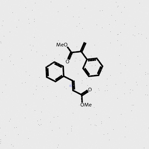 C=C(C(=O)OC)c1ccccc1.COC(=O)/C=C/c1ccccc1